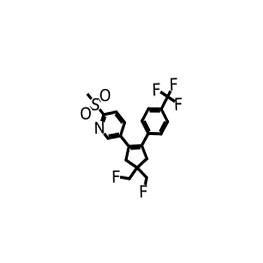 CS(=O)(=O)c1ccc(C2=C(c3ccc(C(F)(F)F)cc3)CC(CF)(CF)C2)cn1